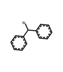 [Bi][CH](c1ccccc1)c1ccccc1